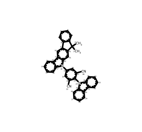 CC1(C)c2ccccc2-c2cc3c4ccccc4n(-c4cc(C#N)c(-n5c6ccccc6c6ccccc65)c(C#N)c4)c3cc21